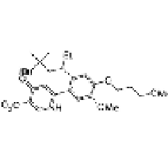 CCC(CC(C)(C)C(C)CC)c1cc(OCCCOC)c(OC)cc1-c1cc(=O)c(C(=O)O)c[nH]1